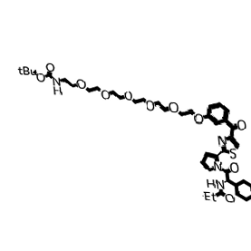 C[CH]C(=O)N[C@H](C(=O)N1CCC[C@H]1c1nc(C(=O)c2cccc(OCCOCCOCCOCCOCCOCCNC(=O)OC(C)(C)C)c2)cs1)C1CCCCC1